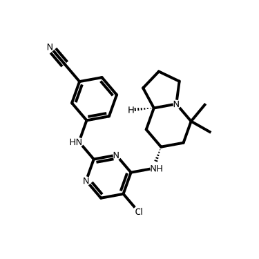 CC1(C)C[C@H](Nc2nc(Nc3cccc(C#N)c3)ncc2Cl)C[C@H]2CCCN21